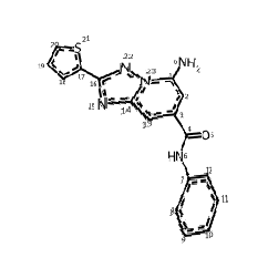 Nc1cc(C(=O)Nc2ccccc2)cc2nc(-c3cccs3)nn12